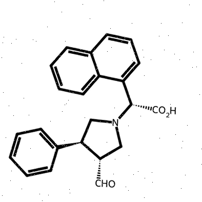 O=C[C@H]1CN([C@@H](C(=O)O)c2cccc3ccccc23)C[C@@H]1c1ccccc1